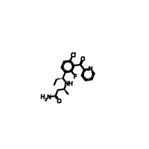 CC[C@@H](N[C@@H](C)CC(N)=O)c1ccc(Cl)c(C(=O)c2ccccn2)c1F